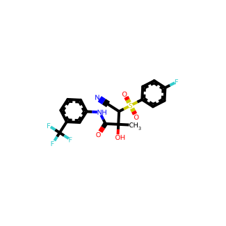 CC(O)(C(=O)Nc1cccc(C(F)(F)F)c1)C(C#N)S(=O)(=O)c1ccc(F)cc1